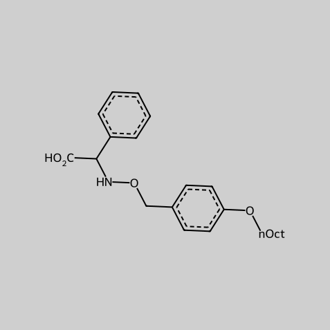 CCCCCCCCOc1ccc(CONC(C(=O)O)c2ccccc2)cc1